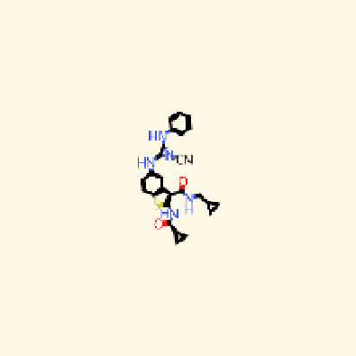 N#CN1C(Nc2ccccc2)C1NC1CCc2sc(NC(=O)C3CC3)c(C(=O)NCC3CC3)c2C1